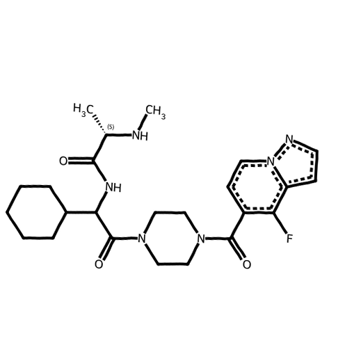 CN[C@@H](C)C(=O)NC(C(=O)N1CCN(C(=O)c2ccn3nccc3c2F)CC1)C1CCCCC1